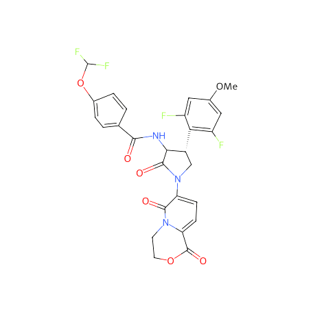 COc1cc(F)c([C@@H]2CN(c3ccc4n(c3=O)CCOC4=O)C(=O)C2NC(=O)c2ccc(OC(F)F)cc2)c(F)c1